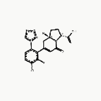 O=C(O)[C@H]1CC[C@H]2CC(c3c(-n4cnnn4)ccc(Cl)c3F)=CC(=O)N21